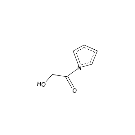 O=C(CO)n1cccc1